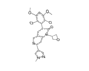 COc1cc(OC)c(Cl)c(-c2cc3cnc(-c4cnn(C)c4)cc3n(C3COC3)c2=O)c1Cl